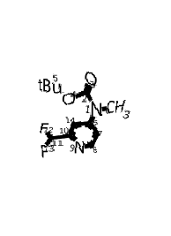 CN(C(=O)OC(C)(C)C)c1ccnc(C(F)F)c1